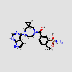 Cc1ccc(C(=O)N2CCN(c3ncnc4[nH]ccc34)CC3(CC3)C2)cc1S(N)(=O)=O